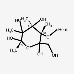 CCCCCCCO[C@]1(C)C(O)(CO)O[C@](C)(O)C(C)(O)[C@@]1(C)O